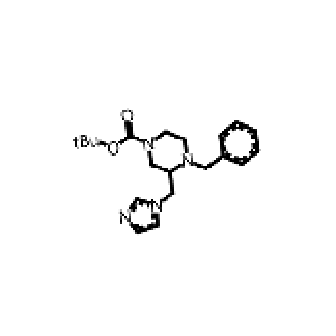 CC(C)(C)OC(=O)N1CCN(Cc2ccccc2)C(Cn2ccnc2)C1